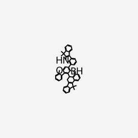 CC1(C)C2=C(CC3c4c(cccc42)Bc2c(-c4cccc5c6c([nH]c45)C(C)(C)c4ccccc4-6)cc4oc5ccccc5c4c23)c2ccccc21